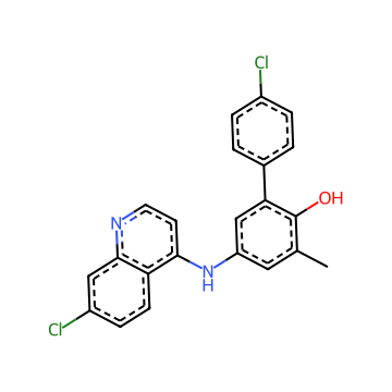 Cc1cc(Nc2ccnc3cc(Cl)ccc23)cc(-c2ccc(Cl)cc2)c1O